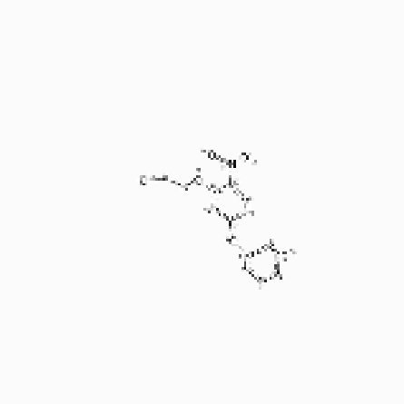 Cc1cccc(Oc2ccc([N+](=O)[O-])c(OCCCl)c2)c1